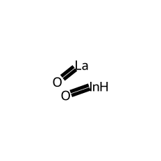 [O]=[InH].[O]=[La]